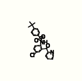 CC(C)(C)c1ccc(S(=O)(=O)Nc2ccc(Cl)cc2C(=O)c2ccccn2)cc1